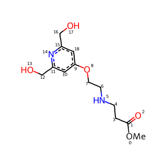 COC(=O)CCNCCOc1cc(CO)nc(CO)c1